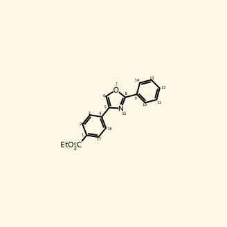 CCOC(=O)c1ccc(-c2coc(-c3ccccc3)n2)cc1